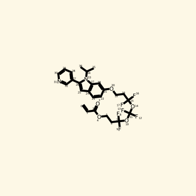 C=CC(=O)OCCC(F)(F)OC(F)(F)OC(F)(F)CCOc1ccc2cc(-c3cccnc3)n(C(C)C)c2c1